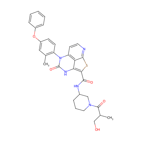 Cc1cc(Oc2ccccc2)ccc1N1C(=O)Nc2c(C(=O)NC3CCCN(C(=O)C(C)CO)C3)sc3nccc1c23